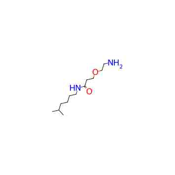 CC(C)CCCCNC(=O)CCOCCN